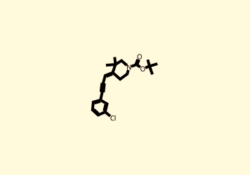 CC(C)(C)OC(=O)N1CC/C(=C\C#Cc2cccc(Cl)c2)C(C)(C)C1